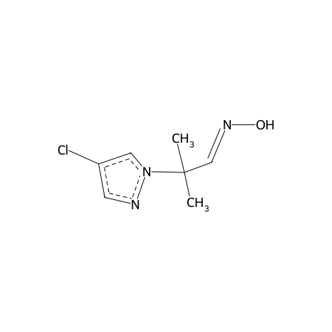 CC(C)(C=NO)n1cc(Cl)cn1